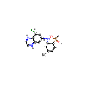 CS(=O)(=O)c1ccc(C#N)cc1Nc1cc(Cl)c2nccnc2c1